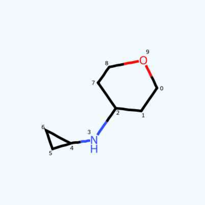 C1CC(NC2CC2)CCO1